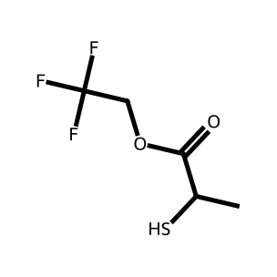 CC(S)C(=O)OCC(F)(F)F